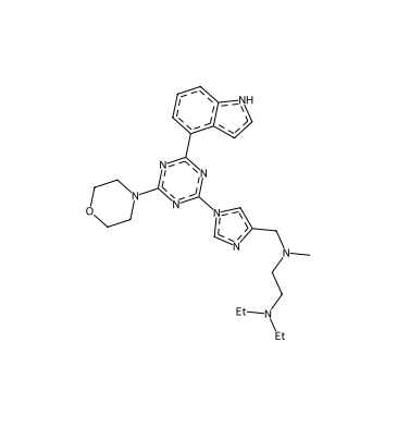 CCN(CC)CCN(C)Cc1cn(-c2nc(-c3cccc4[nH]ccc34)nc(N3CCOCC3)n2)cn1